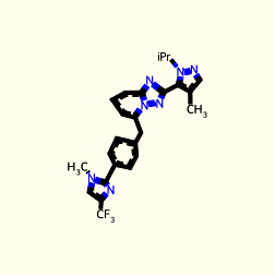 Cc1cnn(C(C)C)c1-c1nc2cccc(Cc3ccc(-c4nc(C(F)(F)F)cn4C)cc3)n2n1